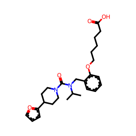 CC(C)N(Cc1ccccc1OCCCCCC(=O)O)C(=O)N1CCC(c2ccco2)CC1